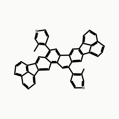 Cc1cnccc1-c1cc2c3cc4c(cc3c(-c3ccncc3C)cc2c2cc3c(cc12)-c1cccc2cccc-3c12)-c1cccc2cccc-4c12